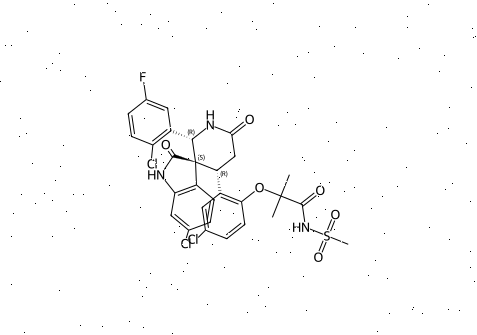 CC(C)(Oc1ccc(Cl)cc1[C@H]1CC(=O)N[C@@H](c2cc(F)ccc2Cl)[C@]12C(=O)Nc1cc(Cl)ccc12)C(=O)NS(C)(=O)=O